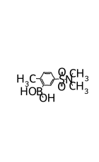 Cc1ccc(S(=O)(=O)N(C)C)cc1B(O)O